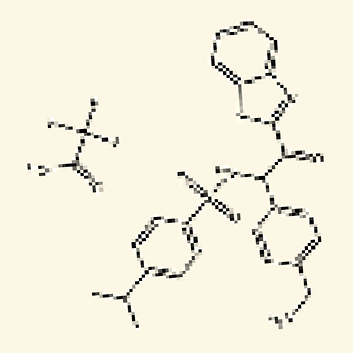 CC(C)c1ccc(S(=O)(=O)NC(C(=O)c2nc3ccccc3s2)c2ccc(CN)cc2)cc1.O=C(O)C(F)(F)F